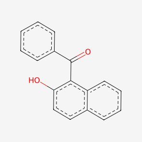 O=C(c1ccccc1)c1c(O)ccc2ccccc12